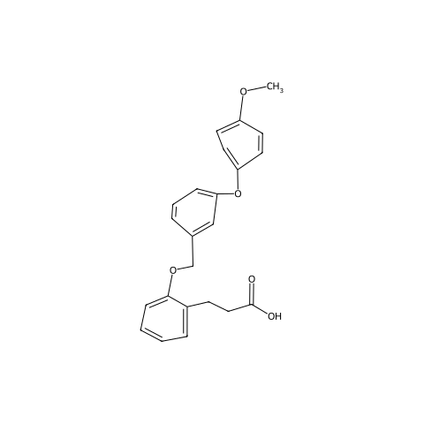 COc1ccc(Oc2cccc(COc3ccccc3CCC(=O)O)c2)cc1